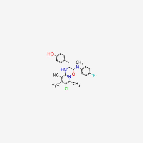 Cc1nc(NC(Cc2ccc(O)cc2)C(=O)N(C)c2ccc(F)cc2)c(C#N)c(C)c1Cl